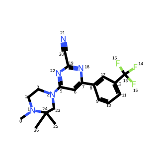 CN1CCN(c2cc(-c3cccc(C(F)(F)F)c3)nc(C#N)n2)CC1(C)C